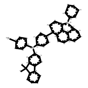 CC1(C)c2ccccc2-c2ccc(N(c3ccc(F)cc3)c3ccc(-c4ccc5c6c4ccc4cccc(c46)n5-c4ccccc4)cc3)cc21